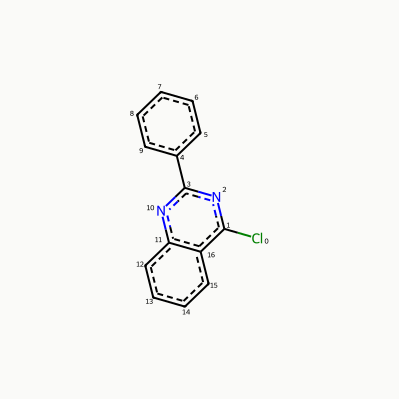 Clc1nc(-c2ccccc2)nc2ccccc12